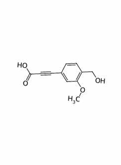 COc1cc(C#CC(=O)O)ccc1CO